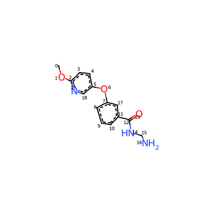 COc1ccc(Oc2cccc(C(=O)NCN)c2)cn1